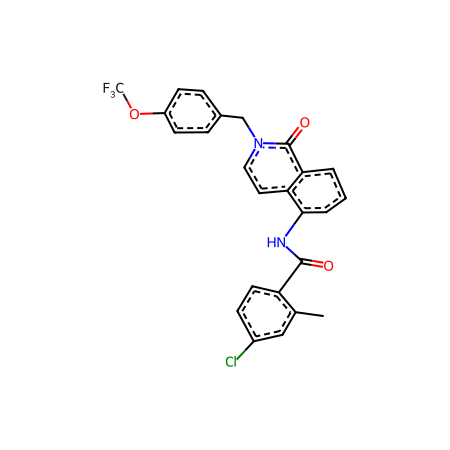 Cc1cc(Cl)ccc1C(=O)Nc1cccc2c(=O)n(Cc3ccc(OC(F)(F)F)cc3)ccc12